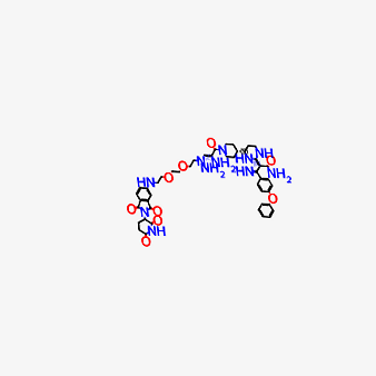 N=C(/C(C(N)=O)=C1/NCC[C@@H](C2CCN(C(=O)/C(N)=C/N(N)CCOCCOCCNc3ccc4c(c3)C(=O)N(C3CCC(=O)NC3=O)C4=O)CC2)N1)c1ccc(Oc2ccccc2)cc1